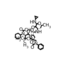 CCC[C@H](NC(=O)[C@@H]1C[C@]2(CN(c3ccccc3)C(=O)O2)CN1C(=O)[C@@H](N(C(C)=O)C1CCCCC1)C(C)(C)C)C(=O)C(=O)NC1CC1